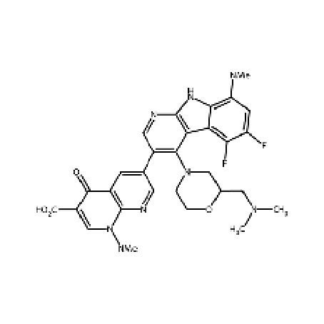 CNc1cc(F)c(F)c2c1[nH]c1ncc(-c3cnc4c(c3)c(=O)c(C(=O)O)cn4NC)c(N3CCOC(CN(C)C)C3)c12